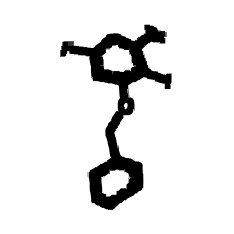 Fc1cc(Br)c(I)c(OCc2ccccc2)c1